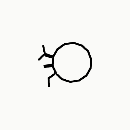 C=C1C(=C(C)C)CCCCCCCCCCCN1CC